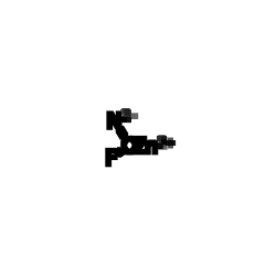 [N-2]OF.[Zn+2]